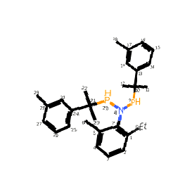 CCc1cccc(C)c1N(PC(C)(C)c1cccc(C)c1)PC(C)(C)c1cccc(C)c1